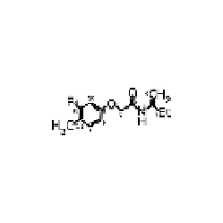 C=C(CC)NC(=O)COc1ccc(C)c(F)c1